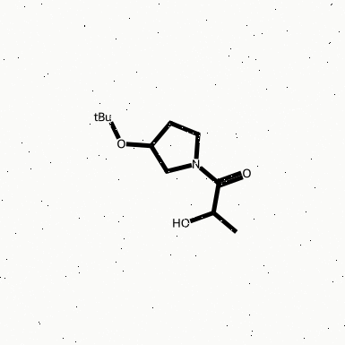 CC(O)C(=O)N1CCC(OC(C)(C)C)C1